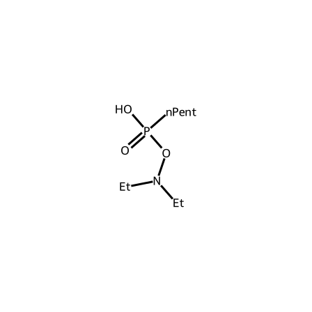 CCCCCP(=O)(O)ON(CC)CC